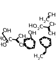 C=C.C=C(C)C(=O)O.C=C(C)C(=O)O.C=Cc1ccccc1.OCCO.Oc1ccccc1